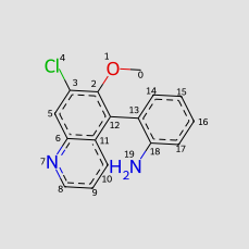 COc1c(Cl)cc2ncccc2c1-c1ccccc1N